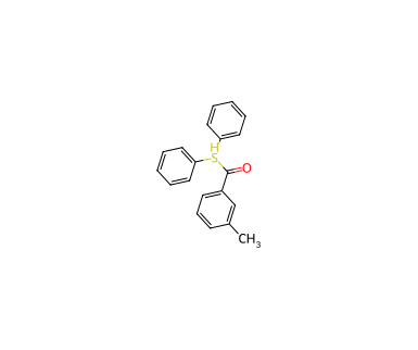 Cc1cccc(C(=O)[SH](c2ccccc2)c2ccccc2)c1